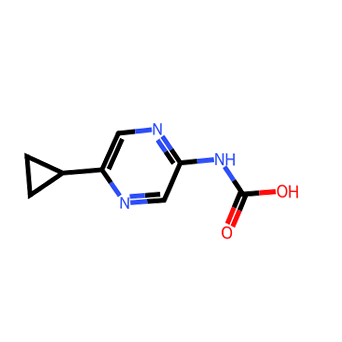 O=C(O)Nc1cnc(C2CC2)cn1